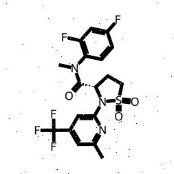 Cc1cc(C(F)(F)F)cc(N2[C@H](C(=O)N(C)c3ccc(F)cc3F)CCS2(=O)=O)n1